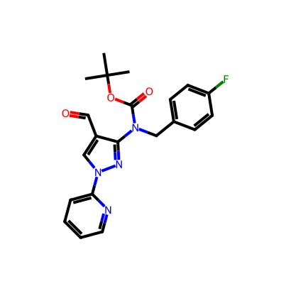 CC(C)(C)OC(=O)N(Cc1ccc(F)cc1)c1nn(-c2ccccn2)cc1C=O